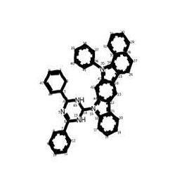 C1=CCC(C2N=C(c3ccccc3)NC(n3c4ccccc4c4cc5c6ccc7ccccc7c6n(-c6ccccc6)c5cc43)N2)C=C1